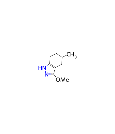 COc1n[nH]c2c1CC(C)CC2